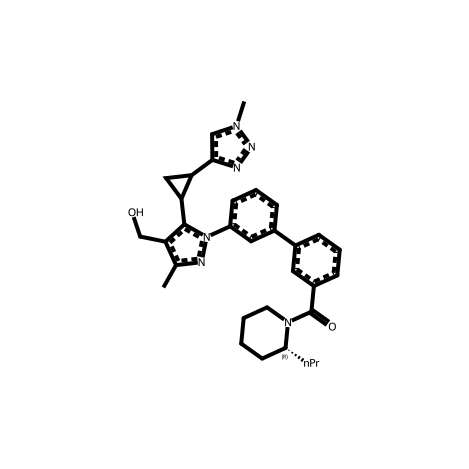 CCC[C@@H]1CCCCN1C(=O)c1cccc(-c2cccc(-n3nc(C)c(CO)c3C3CC3c3cn(C)nn3)c2)c1